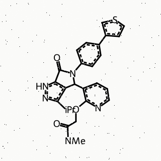 CNC(=O)COc1ncccc1C1c2c(C(C)C)n[nH]c2C(=O)N1c1ccc(-c2ccsc2)cc1